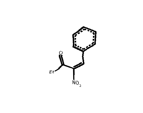 CCC(=O)C(=Cc1ccccc1)[N+](=O)[O-]